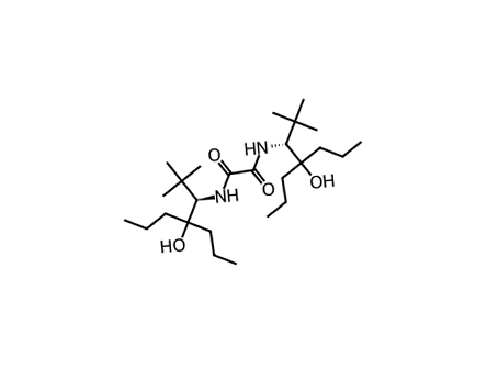 CCCC(O)(CCC)[C@H](NC(=O)C(=O)N[C@H](C(C)(C)C)C(O)(CCC)CCC)C(C)(C)C